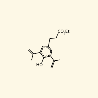 C=C(C)c1cc(CCC(=O)OCC)cc(C(=C)C)c1O